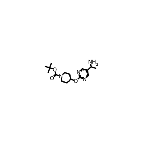 CC(N)c1cnc(OC2CCN(C(=O)OC(C)(C)C)CC2)nc1